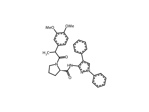 COc1ccc(C(C)C(=O)N2CCC[C@@H]2C(=O)Nc2nn(-c3ccccc3)cc2-c2ccccc2)cc1OC